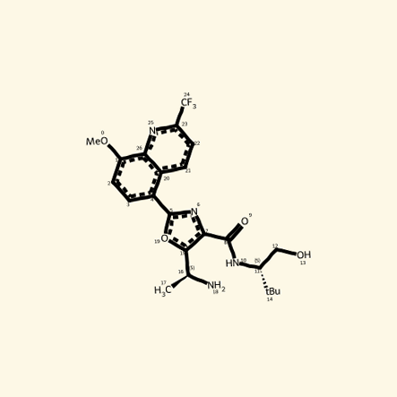 COc1ccc(-c2nc(C(=O)N[C@H](CO)C(C)(C)C)c([C@H](C)N)o2)c2ccc(C(F)(F)F)nc12